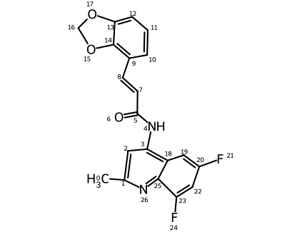 Cc1cc(NC(=O)C=Cc2cccc3c2OCO3)c2cc(F)cc(F)c2n1